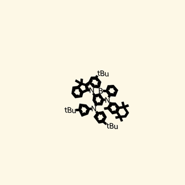 Cc1cc2c(cc1N1c3ccccc3B3c4c1cc(N(c1ccc(C(C)(C)C)cc1)c1ccc(C(C)(C)C)cc1)cc4-n1c4c(c5cc(C(C)(C)C)cc3c51)C(C)(C)c1ccccc1-4)C(C)(C)CCC2(C)C